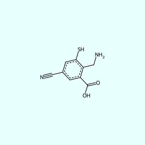 N#Cc1cc(S)c(CN)c(C(=O)O)c1